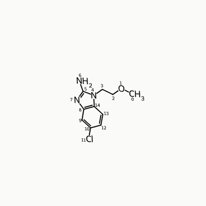 COCCn1c(N)nc2cc(Cl)ccc21